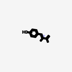 C=C(C)/C(C)=C/c1ccc(O)cc1